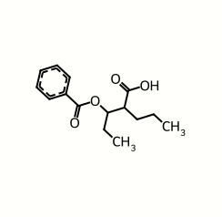 CCCC(C(=O)O)C(CC)OC(=O)c1ccccc1